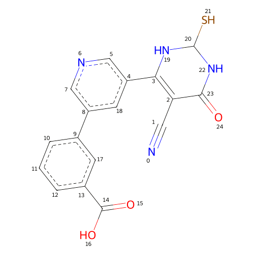 N#CC1=C(c2cncc(-c3cccc(C(=O)O)c3)c2)NC(S)NC1=O